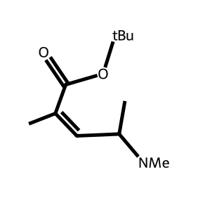 CNC(C)C=C(C)C(=O)OC(C)(C)C